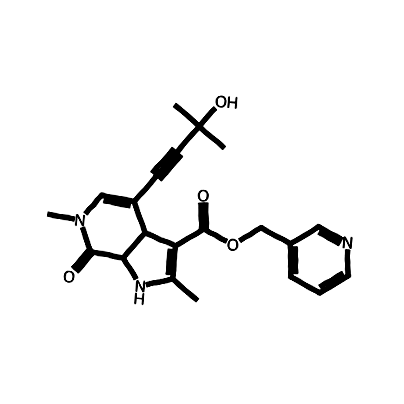 CC1=C(C(=O)OCc2cccnc2)C2C(C#CC(C)(C)O)=CN(C)C(=O)C2N1